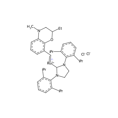 CCC1CN(C)c2cccc(/[CH]=[Ru+2]/[CH]3N(c4c(C(C)C)cccc4C(C)C)CCN3c3c(C(C)C)cccc3C(C)C)c2O1.[Cl-].[Cl-]